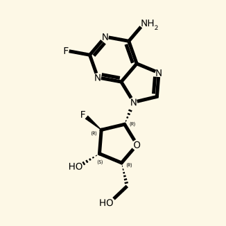 Nc1nc(F)nc2c1ncn2[C@@H]1O[C@H](CO)[C@H](O)[C@H]1F